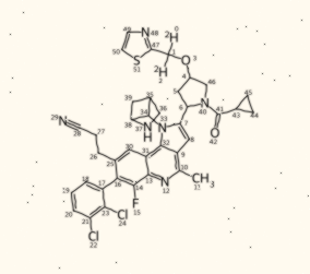 [2H]C([2H])(OC1CC(c2cc3c(C)nc4c(F)c(-c5cccc(Cl)c5Cl)c(CCC#N)cc4c3n2C2C3CNC2C3)N(C(=O)C2CC2)C1)c1nccs1